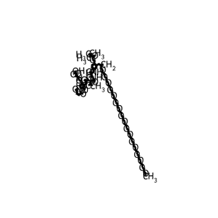 C=C(COCCOCCOCCOCCOCCOCCOCCOCCOCCOCCOCCOCCOCCOCCOCCOCCOC)Cc1cc(NC(=O)[C@H](C)NC(=O)[C@@H](NC(=O)CN2C(=O)[C@@H](N3C(=O)C=CC3=O)C[C@H]2COCCS(=O)(=O)O)C(C)C)ccc1COC(=O)C(C)(C)C